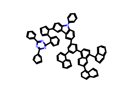 C1=c2ccccc2=C(c2ccc3c(-c4cc(-c5ccc6c(c5)c5cc(-c7ccccc7-c7ccccc7-c7nc(-c8ccccc8)nc(-c8ccccc8)n7)ccc5n6-c5ccccc5)cc(-c5cccc6ccccc56)c4)ccc(-c4cccc5ccccc45)c3c2)CC1